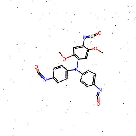 COc1cc(N(c2ccc(N=C=O)cc2)c2ccc(N=C=O)cc2)c(OC)cc1N=C=O